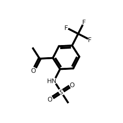 CC(=O)c1cc(C(F)(F)F)ccc1NS(C)(=O)=O